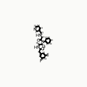 C[C@H](NC(=O)Cc1cc(F)cc(F)c1)C(=O)N(C(=O)CNCc1cccnc1)c1ccccc1